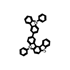 c1ccc(-n2c3ccccc3c3cc(-c4ccc5c(c4)c4c6c(ccc4n5-c4ccccc4)sc4ccccc46)ccc32)cc1